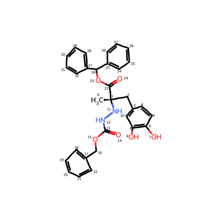 C[C@@](Cc1ccc(O)c(O)c1)(NNC(=O)OCc1ccccc1)C(=O)OC(c1ccccc1)c1ccccc1